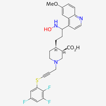 COc1ccc2nccc(C(CC[C@@H]3CCN(CC#CSc4cc(F)cc(F)c4F)C[C@@H]3C(=O)O)NO)c2c1